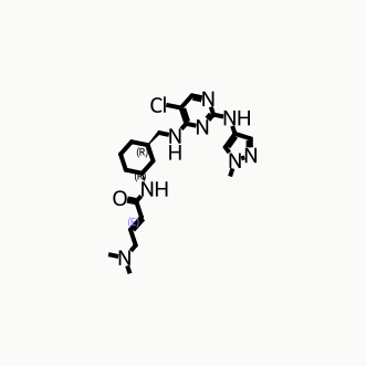 CN(C)C/C=C/C(=O)N[C@@H]1CCC[C@@H](CNc2nc(Nc3cnn(C)c3)ncc2Cl)C1